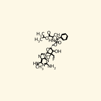 CNc1nc(N)nc2c1ncn2[C@@H]1O[C@H](CO[P@](=O)(NC(C)C(=O)OC(C)C)Oc2ccccc2)[C@@H](O)[C@]1(Cl)CF